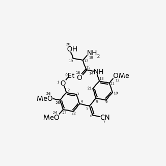 CCOc1cc(C(=CC#N)c2ccc(OC)c(NC(=O)C(N)CO)c2)cc(OC)c1OC